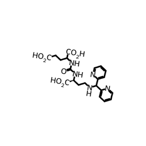 O=C(O)CCC(NC(=O)N[C@@H](CCNC(c1ccccn1)c1ccccn1)C(=O)O)C(=O)O